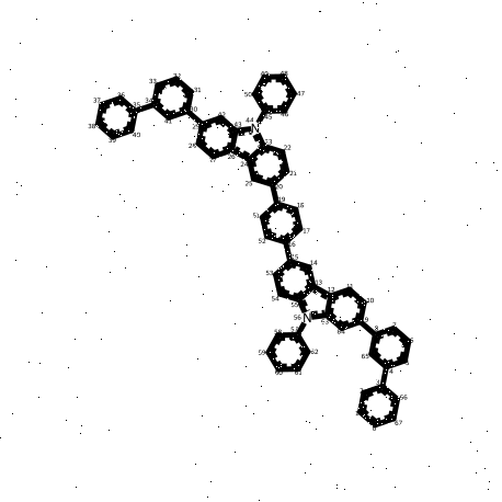 c1ccc(-c2cccc(-c3ccc4c5cc(-c6ccc(-c7ccc8c(c7)c7ccc(-c9cccc(-c%10ccccc%10)c9)cc7n8-c7ccccc7)cc6)ccc5n(-c5ccccc5)c4c3)c2)cc1